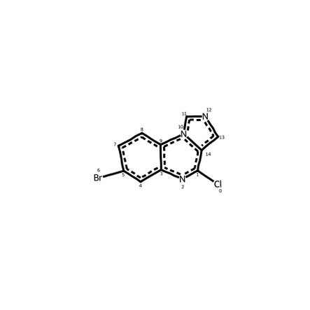 Clc1nc2cc(Br)ccc2n2cncc12